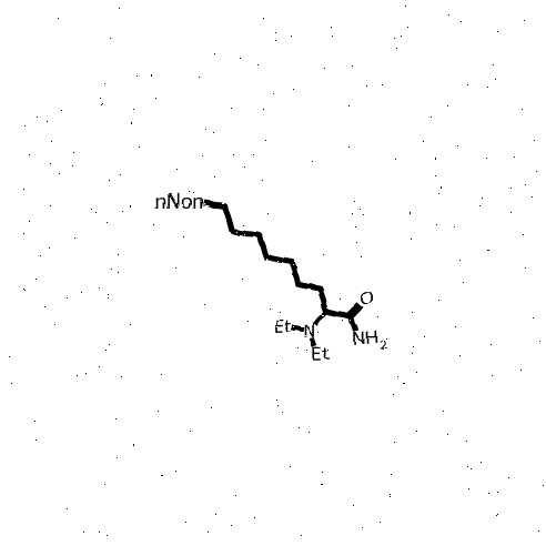 CCCCCCCCCCCCCCCCC(C(N)=O)N(CC)CC